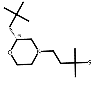 CC(C)(C)C[C@@H]1CN(CCC(C)(C)S)CCO1